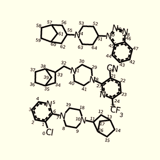 Clc1cccnc1N1CCN(C2CC3CCC2C3)CC1.N#Cc1ccc(C(F)(F)F)nc1N1CCN(CC2CC3CCC2C3)CC1.c1ccc2c(c1)nnn2C1CCN(C2CC3CCC(C3)C2)CC1